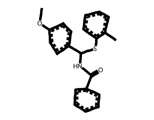 COc1ccc(C(NC(=O)c2ccccc2)Sc2ccccc2C)cc1